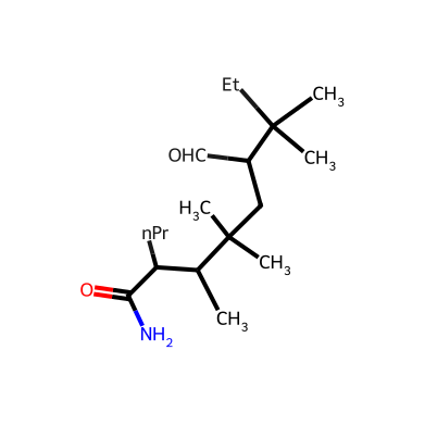 CCCC(C(N)=O)C(C)C(C)(C)CC(C=O)C(C)(C)CC